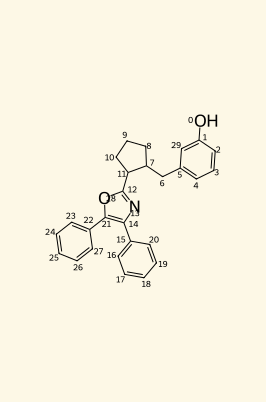 Oc1cccc(CC2CCCC2c2nc(-c3ccccc3)c(-c3ccccc3)o2)c1